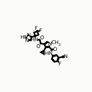 Cn1cc(C(=O)C(=O)NC2(c3cn[nH]n3)CC(F)(F)C2)c(C2CC2)c1C(=O)Nc1ccc(F)c(C#N)c1